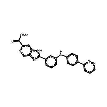 COC(=O)c1cc2[nH]c(-c3cccc(Nc4ccc(-c5cccnn5)cc4)c3)nc2cn1